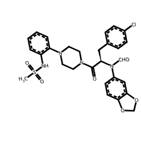 CS(=O)(=O)Nc1ccccc1N1CCN(C(=O)[C@@H](Cc2ccc(Cl)cc2)N(C=O)c2ccc3c(c2)OCO3)CC1